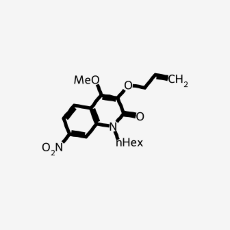 C=CCOc1c(OC)c2ccc([N+](=O)[O-])cc2n(CCCCCC)c1=O